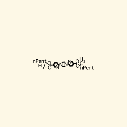 CCCCC[C@@H](C)OC(=O)c1ccc(N2CCN(c3ccc(C(=O)O[C@H](C)CCCCC)cn3)CC2)nc1